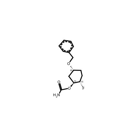 NC(=O)O[C@H]1C[C@H](OCc2ccccc2)CC[C@@H]1F